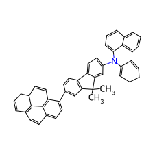 CC1(C)c2cc(-c3ccc4ccc5c6c4c3C=CC6CC=C5)ccc2-c2ccc(N(C3=CCCC=C3)c3cccc4ccccc34)cc21